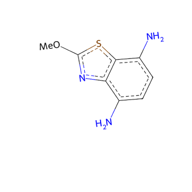 COc1nc2c(N)ccc(N)c2s1